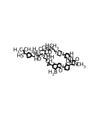 Bc1cc(C2CC2)cc2ccn(-c3cccc(-c4cn(C)c(=O)c(Nc5ccc(N6CCN(CCN(C)C(=O)NC(C(=O)N(CC(=O)NCc7ccc(C(S)=C(C)C)cc7)CC(C)O)C(C)(C)C)CC6)cn5)n4)c3CO)c(=O)c12